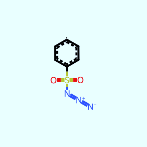 [N-]=[N+]=NS(=O)(=O)c1cc[c]cc1